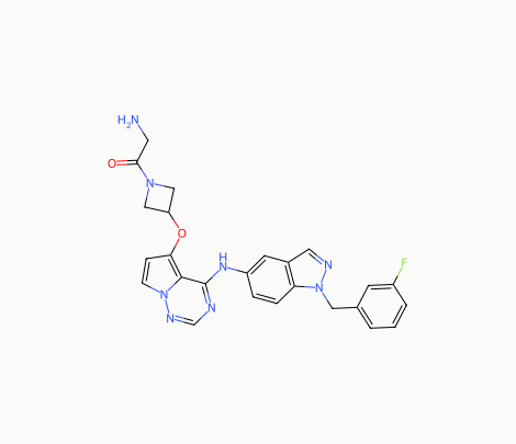 NCC(=O)N1CC(Oc2ccn3ncnc(Nc4ccc5c(cnn5Cc5cccc(F)c5)c4)c23)C1